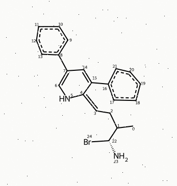 CC(C/C=C1/NC=C(c2ccccc2)C=C1c1ccccc1)[C@H](N)Br